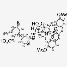 COc1ccc(CN(Cc2ccc(OC)cc2)S(=O)(=O)c2nn(C(C)(C)COc3cc(-c4cc(F)cc(C(C)C)c4CC(=O)O)ccn3)c(C(=O)O)c2F)cc1